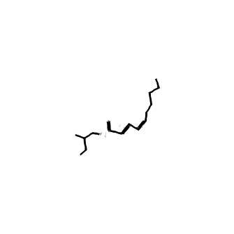 CCCCC/C=C\C=C\C(=O)NCC(C)CC